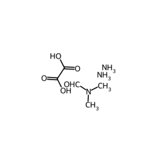 CN(C)C=O.N.N.O=C(O)C(=O)O